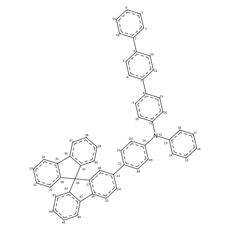 c1ccc(-c2ccc(-c3ccc(N(c4ccccc4)c4ccc(-c5ccc6c(c5)C5(c7ccccc7-c7ccccc75)c5ccccc5-6)cc4)cc3)cc2)cc1